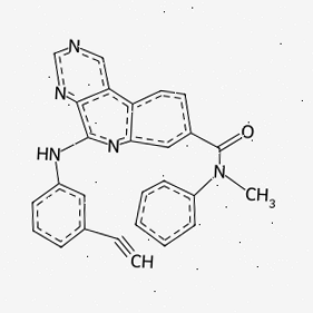 C#Cc1cccc(Nc2nc3cc(C(=O)N(C)c4ccccc4)ccc3c3cncnc23)c1